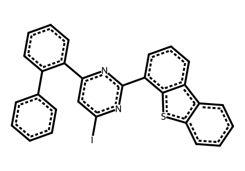 Ic1cc(-c2ccccc2-c2ccccc2)nc(-c2cccc3c2sc2ccccc23)n1